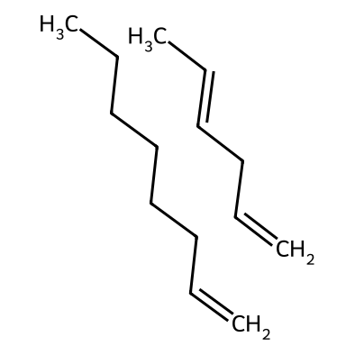 C=CCC=CC.C=CCCCCCC